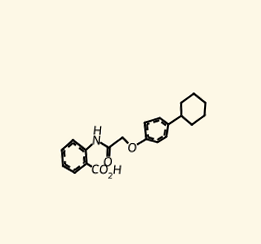 O=C(COc1ccc(C2CCCCC2)cc1)Nc1ccccc1C(=O)O